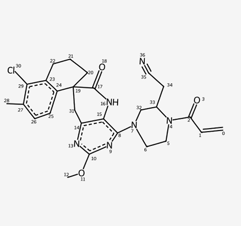 C=CC(=O)N1CCN(c2nc(OC)nc3c2NC(=O)C2(CCCc4c2ccc(C)c4Cl)C3)CC1CC#N